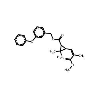 COC(=O)C(C)=CC1C(C(=O)OCc2cccc(Oc3ccccc3)c2)C1(C)C